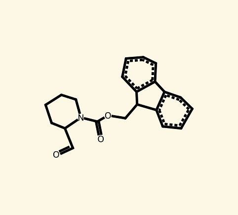 O=CC1CCCCN1C(=O)OCC1c2ccccc2-c2ccccc21